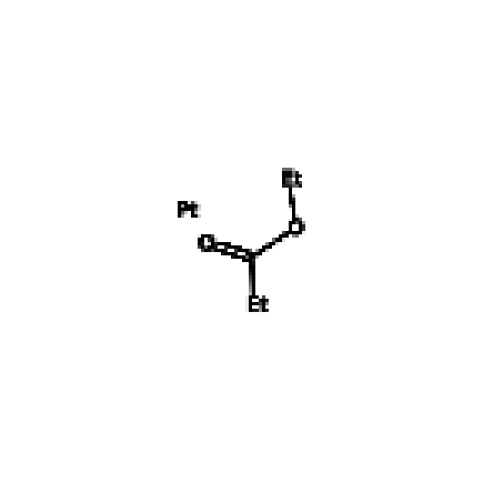 CCOC(=O)CC.[Pt]